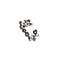 COC(=O)N[C@@H](C(=O)N1CCC[C@H]1c1ncc(-c2ccc(-c3ccc(-c4cnc([C@@H]5CCCN5C(=O)[C@@H]5CSC(C(C)(C)C)N5C(=O)O)[nH]4)cc3)cc2)[nH]1)c1ccccc1